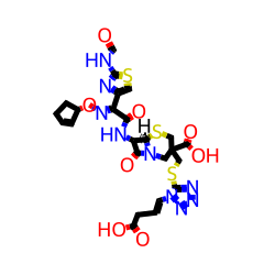 O=CNc1nc(C(=NOC2C=CCC2)C(=O)NC2C(=O)N3CC(CSc4nnnn4C=CCC(=O)O)(C(=O)O)CS[C@H]23)cs1